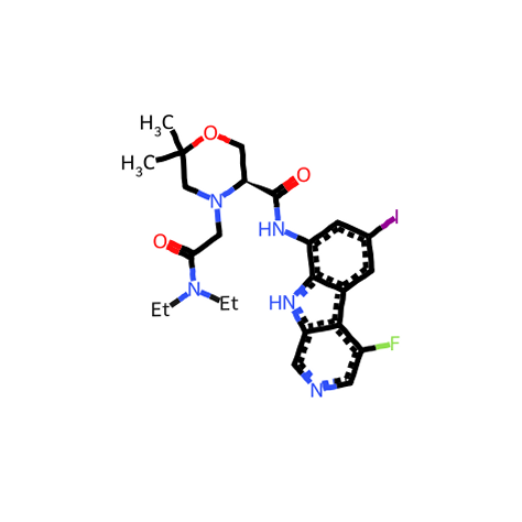 CCN(CC)C(=O)CN1CC(C)(C)OC[C@H]1C(=O)Nc1cc(I)cc2c1[nH]c1cncc(F)c12